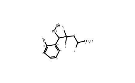 CCOC(=O)C(F)CC(F)(F)C(NS)c1ccccc1F